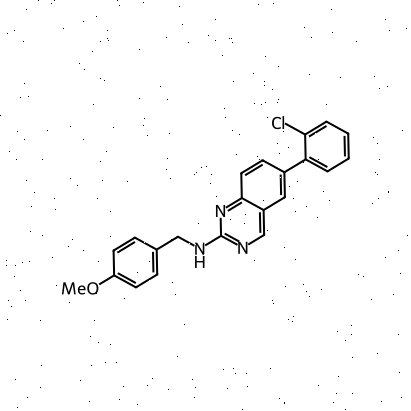 COc1ccc(CNc2ncc3cc(-c4ccccc4Cl)ccc3n2)cc1